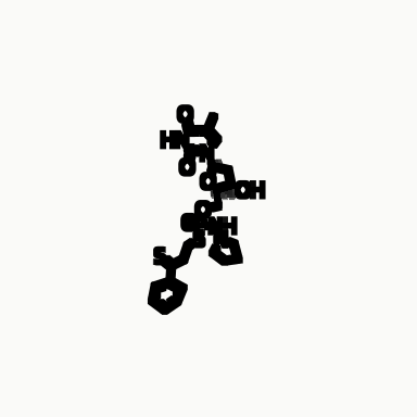 Cc1cn([C@H]2C[C@H](O)[C@@H](COP(=O)(NN3CCCC3)SCCC(=S)c3ccccc3)O2)c(=O)[nH]c1=O